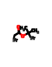 CC(C)CC(=O)OC(C)(C)C(C)C